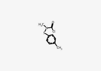 Cc1ccc(SN(C)C(=O)Cl)cc1